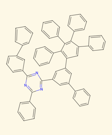 c1ccc(-c2cccc(-c3nc(-c4ccccc4)nc(-c4cc(-c5ccccc5)cc(-c5cc(-c6ccccc6)c(-c6ccccc6)c(-c6ccccc6)c5-c5ccccc5)c4)n3)c2)cc1